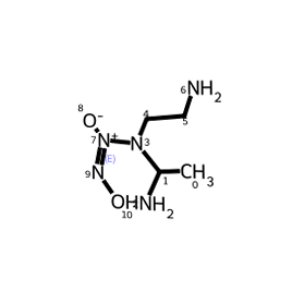 CC(N)N(CCN)/[N+]([O-])=N\O